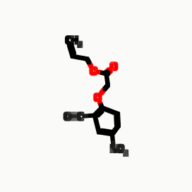 C=CCOC(=O)COc1ccc([N+](=O)[O-])cc1C=O